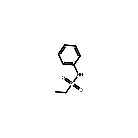 CCS(=O)(=O)Nc1ccccc1